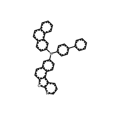 c1ccc(-c2ccc(N(c3ccc4c(ccc5oc6ncccc6c54)c3)c3ccc4ccc5ccccc5c4c3)cc2)cc1